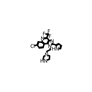 FC(F)(F)c1nc2cc(Cl)ccc2c2c1nc(-c1ccc[nH]1)n2CCN1CCNCC1